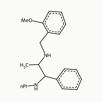 CCCNC(c1ccccc1)C(C)NCc1ccccc1OC